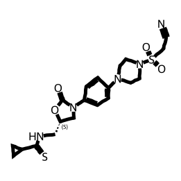 N#CCS(=O)(=O)N1CCN(c2ccc(N3C[C@H](CNC(=S)C4CC4)OC3=O)cc2)CC1